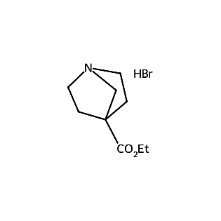 Br.CCOC(=O)C12CCN(CC1)C2